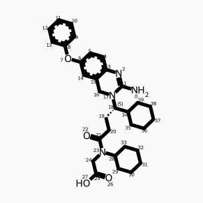 NC1=Nc2ccc(Oc3ccccc3)cc2CN1[C@@H](CCC(=O)N(CC(=O)O)C1CCCCC1)C1CCCCC1